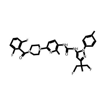 Cc1ccc(-n2nc(C(C)(CF)CF)cc2NC(=O)Nc2ccc(N3CCN(C(=O)c4c(F)cccc4F)CC3)nc2C)cc1